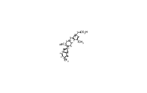 CCC[C@@H]1CN(Cc2cc(C)cc(CC(=O)O)c2)CCN1c1nc2ccc(C(F)(F)F)nc2s1